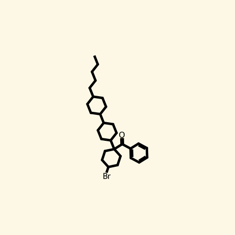 CCCCCC1CCC(C2CCC(C3(C(=O)c4ccccc4)CCC(Br)CC3)CC2)CC1